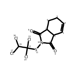 O=C1C2C=CCCC2C(=O)N1SC(Cl)(Cl)C(Cl)Cl